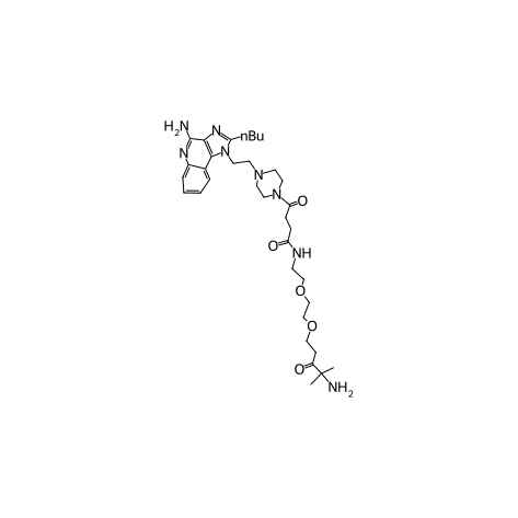 CCCCc1nc2c(N)nc3ccccc3c2n1CCN1CCN(C(=O)CCC(=O)NCCOCCOCCC(=O)C(C)(C)N)CC1